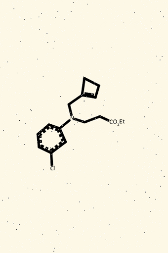 CCOC(=O)CCN(CC1=CCC1)c1cccc(Cl)c1